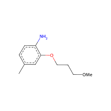 COCCCOc1cc(C)ccc1N